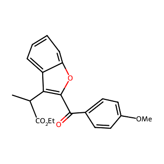 CCOC(=O)C(C)c1c(C(=O)c2ccc(OC)cc2)oc2ccccc12